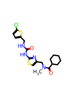 CN(Cc1csc(NC(=O)NCc2ccc(Cl)s2)n1)C(=O)C1CCCCC1